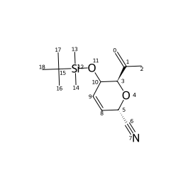 C=C(C)[C@H]1O[C@H](C#N)C=CC1O[Si](C)(C)C(C)(C)C